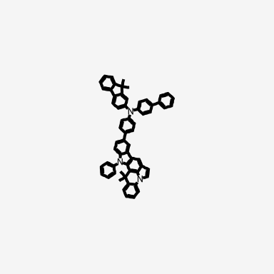 CC1(C)c2ccccc2-c2ccc(N(c3ccc(-c4ccccc4)cc3)c3ccc(-c4ccc5c(c4)c4cc6ccn7c6c(c4n5-c4ccccc4)C(C)(C)c4ccccc4-7)cc3)cc21